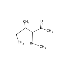 CC[C@H](C)C(NC)C(C)=O